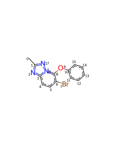 Cc1nc2ccc(Br)c(Oc3ccccc3)n2n1